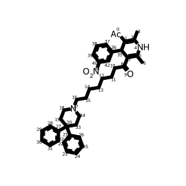 CC(=O)C1=C(C)NC(C)=C(C(=O)CCCCCCCN2CCC(c3ccccc3)(c3ccccc3)CC2)C1c1cccc([N+](=O)[O-])c1